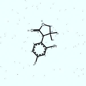 CC(C)c1cc(F)ccc1C1C(=O)OCC1(C)C